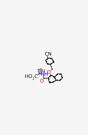 CC(C)(C)[C@H](NC(=O)c1ccc2ccccc2c1OCc1ccc(C#N)cc1)C(=O)O